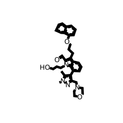 Cc1c(-c2cccc3c(CCCOc4cccc5ccccc45)c(C=O)n(CCCO)c23)c(CN2CCOCC2)nn1C